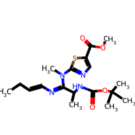 CC/C=C/N=C(/C(C)NC(=O)OC(C)(C)C)N(C)c1ncc(C(=O)OC)s1